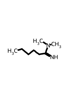 CCCCCC(=N)N(C)C